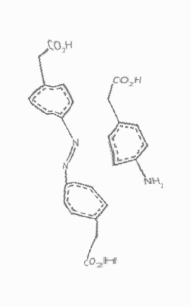 Nc1ccc(CC(=O)O)cc1.O=C(O)Cc1ccc(N=Nc2ccc(CC(=O)O)cc2)cc1